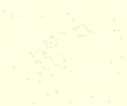 CC1(C)CCN(c2c(-c3ccc(OCCc4ccc(F)cc4)cn3)cnc3c2C(OC(C)(C)C)C(=O)OC3)CC1